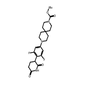 CC(C)(C)OC(=O)N1CCC2(CC1)CCN(c1cc(F)c(C3CCC(=O)NC3=O)c(F)c1)CC2